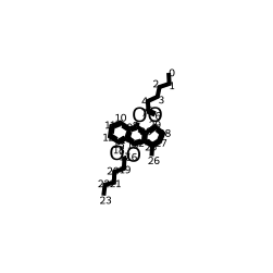 CCCCCC(=O)Oc1c2ccccc2c(OC(=O)CCCCC)c2c(C)cccc12